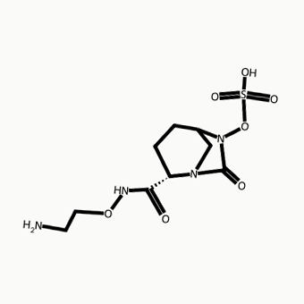 NCCONC(=O)[C@@H]1CCC2CN1C(=O)N2OS(=O)(=O)O